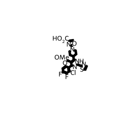 COC(=O)C1=C(C2CCN(c3nc(C(=O)O)co3)CC2)NC(c2nccs2)=NC1c1ccc(F)c(F)c1Cl